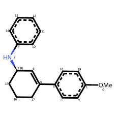 COc1ccc(C2=C[C@H](Nc3ccccc3)CCC2)cc1